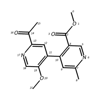 COC(=O)c1cnc(C)cc1-c1cc(C(C)=O)ncc1OC